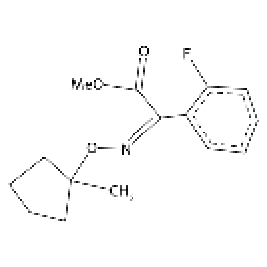 COC(=O)/C(=N\OC1(C)CCCC1)c1ccccc1F